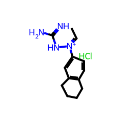 CC=[N+](NC(=N)N)c1ccc2c(c1)CCCC2.Cl